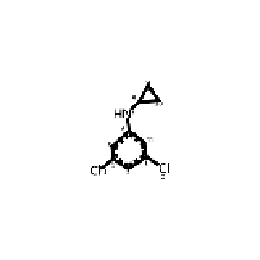 Clc1cc(Cl)cc(NC2CC2)c1